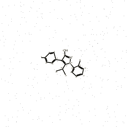 Cc1ccc(-c2c(O)nn(-c3ccccc3C)c2C(C)C)cc1